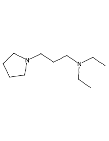 CCN(CC)CCCN1CCCC1